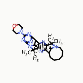 CC1(C)CC(N=C2C([N])C3CCCCCCN(C2(C)C)C3(C)C)C2c3nc(N4CCOCC4)nc(n3)N1C2(C)C